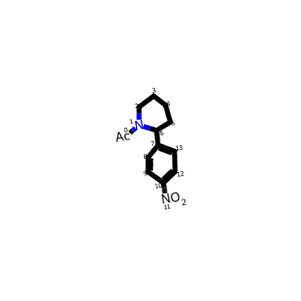 CC(=O)N1CCCCC1c1ccc([N+](=O)[O-])cc1